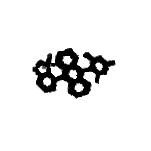 Cc1cc(C)c(-c2c3ccccc3c(-c3cccc4c3[P@](C)(=O)CO4)c3ccccc23)c(C)c1